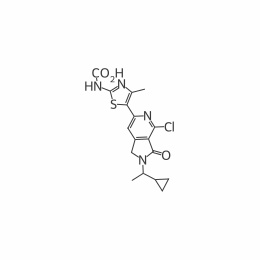 Cc1nc(NC(=O)O)sc1-c1cc2c(c(Cl)n1)C(=O)N(C(C)C1CC1)C2